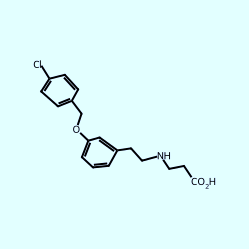 O=C(O)CCNCCc1cccc(OCc2ccc(Cl)cc2)c1